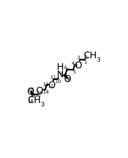 CCCOCCCC(=O)NCCOCCOCC(C)=O